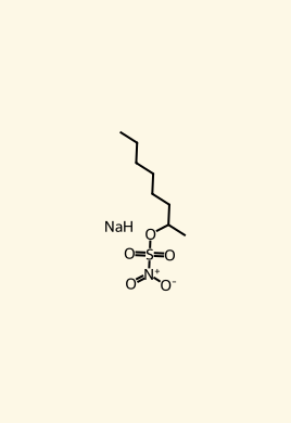 CCCCCCC(C)OS(=O)(=O)[N+](=O)[O-].[NaH]